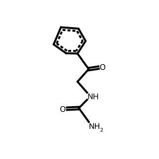 NC(=O)NCC(=O)c1ccccc1